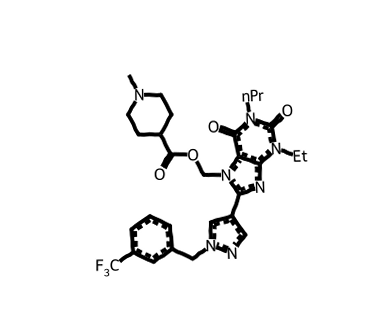 CCCn1c(=O)c2c(nc(-c3cnn(Cc4cccc(C(F)(F)F)c4)c3)n2COC(=O)C2CCN(C)CC2)n(CC)c1=O